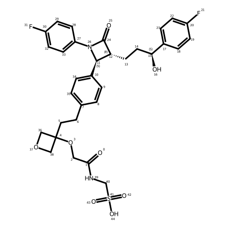 O=C(COC1(CCc2ccc([C@@H]3[C@@H](CC[C@H](O)c4ccc(F)cc4)C(=O)N3c3ccc(F)cc3)cc2)COC1)NCS(=O)(=O)O